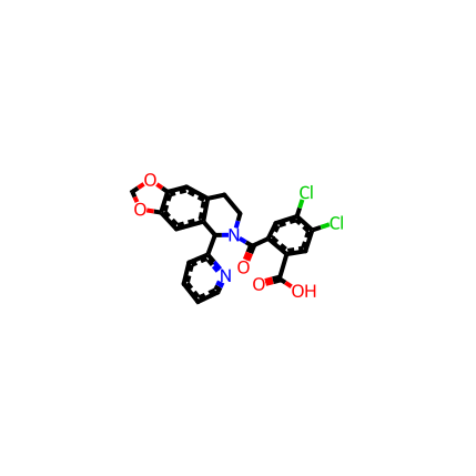 O=C(O)c1cc(Cl)c(Cl)cc1C(=O)N1CCc2cc3c(cc2C1c1ccccn1)OCO3